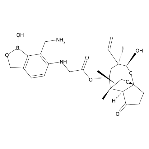 C=C[C@]1(C)C[C@@H](OC(=O)CNc2ccc3c(c2CN)B(O)OC3)[C@]2(C)[C@H](C)CC[C@]3(CCC(=O)[C@H]32)C[C@@H]1O